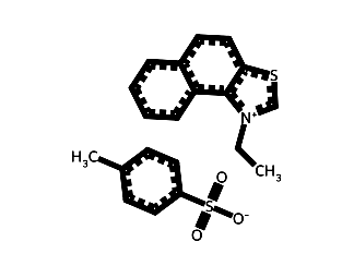 CC[n+]1csc2ccc3ccccc3c21.Cc1ccc(S(=O)(=O)[O-])cc1